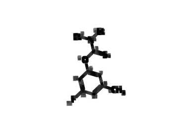 CCN(CC)C(=S)Oc1cc(C)cc(F)c1